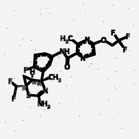 Cc1nc(OCC(F)(F)F)cnc1C(=O)Nc1ccc(F)c([C@]2(C)N=C(N)S[C@@]3(C(F)F)C[C@@H]23)c1